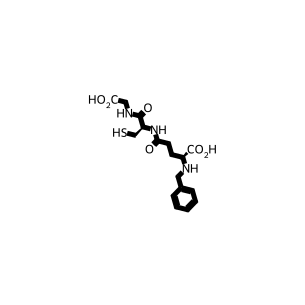 O=C(O)CNC(=O)[C@H](CS)NC(=O)CC[C@H](NCc1ccccc1)C(=O)O